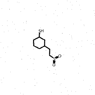 O=[SH](=O)CCC1CCCC(S)C1